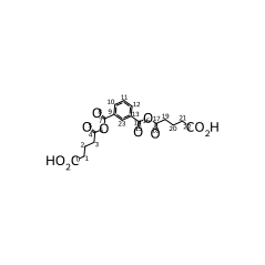 O=C(O)CCCC(=O)OC(=O)c1cccc(C(=O)OC(=O)CCCC(=O)O)c1